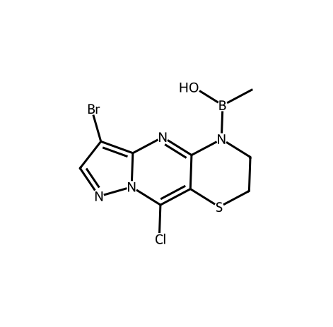 CB(O)N1CCSc2c1nc1c(Br)cnn1c2Cl